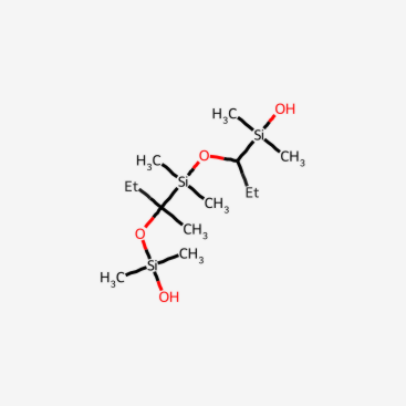 CCC(O[Si](C)(C)C(C)(CC)O[Si](C)(C)O)[Si](C)(C)O